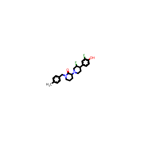 Cc1ccc(CN2CCCC(N3CCC(c4ccc(O)c(F)c4)C(F)C3)C2=O)cc1